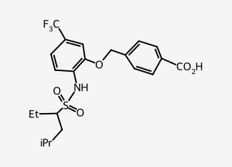 CCC(CC(C)C)S(=O)(=O)Nc1ccc(C(F)(F)F)cc1OCc1ccc(C(=O)O)cc1